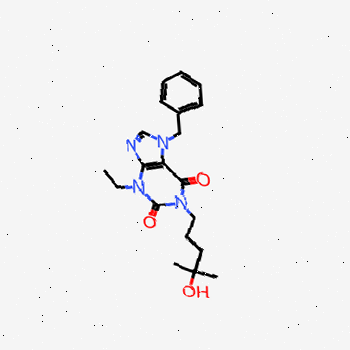 CCn1c(=O)n(CCCC(C)(C)O)c(=O)c2c1ncn2Cc1ccccc1